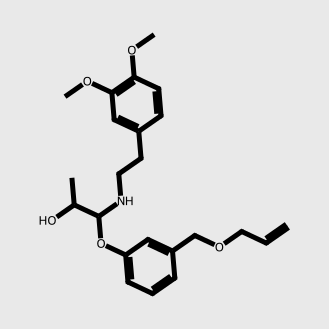 C=CCOCc1cccc(OC(NCCc2ccc(OC)c(OC)c2)C(C)O)c1